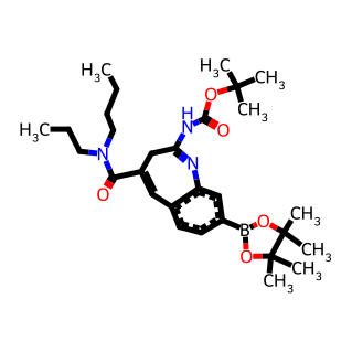 CCCCN(CCC)C(=O)C1=Cc2ccc(B3OC(C)(C)C(C)(C)O3)cc2N=C(NC(=O)OC(C)(C)C)C1